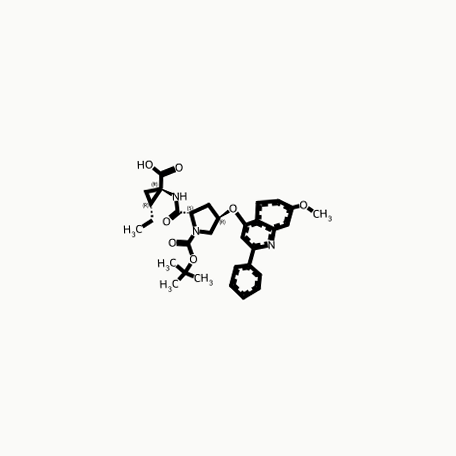 CC[C@@H]1C[C@]1(NC(=O)[C@@H]1C[C@@H](Oc2cc(-c3ccccc3)nc3cc(OC)ccc23)CN1C(=O)OC(C)(C)C)C(=O)O